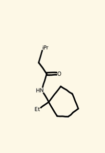 CCC1(NC(=O)CC(C)C)CCCCC1